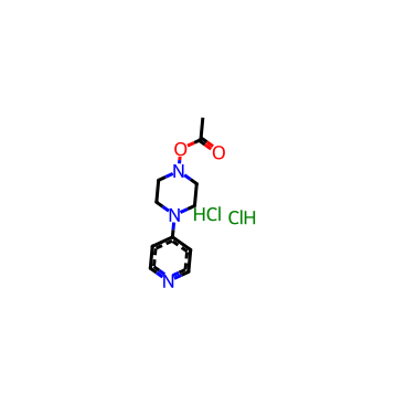 CC(=O)ON1CCN(c2ccncc2)CC1.Cl.Cl